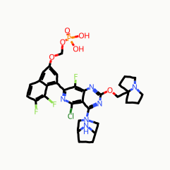 O=P(O)(O)OCOc1cc(-c2nc(Cl)c3c(N4CC5CCC(C4)N5)nc(OCC45CCCN4CCC5)nc3c2F)c2c(F)c(F)ccc2c1